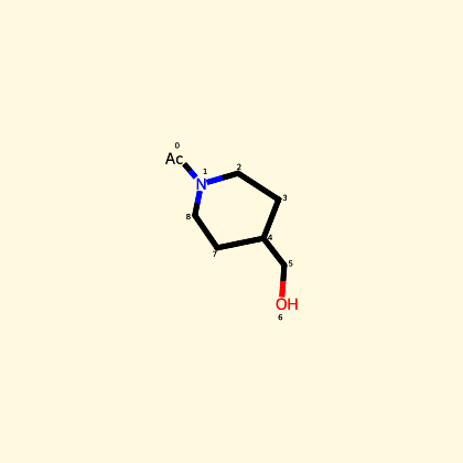 CC(=O)N1CCC(CO)CC1